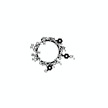 CC[C@H](C)[C@@H]1NC(=O)[C@H](C)N(C)C(=O)C[C@@H](CC(C)C)NC(=O)[C@H](C(C)C)N(C)C(=O)[C@H](Cc2ccccc2)N(C)C(=O)[C@H](CC(C)C)N(C)C(=O)[C@H](CCc2ccc(C(F)(F)F)cc2)NC(=O)CN(C)C(=O)[C@H](Cc2ccc(Cl)cc2)N(C)C(=O)CN(C)C(=O)CN(C)C1=O